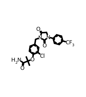 CC(C)(Oc1ccc(CN2C(=O)CN(c3ccc(C(F)(F)F)cc3)C2=O)cc1Cl)C(N)=O